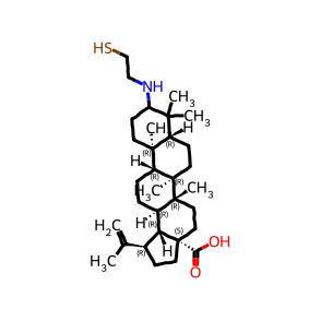 C=C(C)[C@@H]1CC[C@]2(C(=O)O)CC[C@]3(C)[C@H](CC[C@@H]4[C@@]5(C)CCC(NCCS)C(C)(C)[C@@H]5CC[C@]43C)[C@@H]12